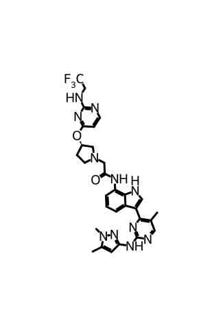 Cc1cnc(Nc2cc(C)n(C)n2)nc1-c1c[nH]c2c(NC(=O)CN3CC[C@H](Oc4ccnc(NCC(F)(F)F)n4)C3)cccc12